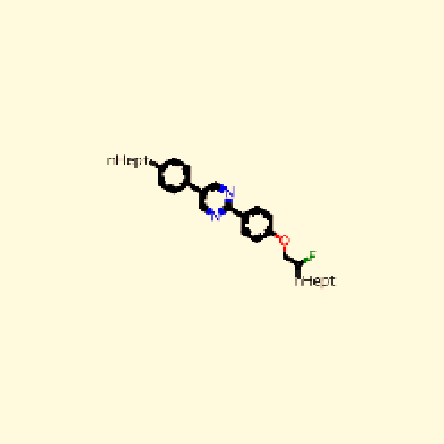 CCCCCCCc1ccc(-c2cnc(-c3ccc(OCC(F)CCCCCCC)cc3)nc2)cc1